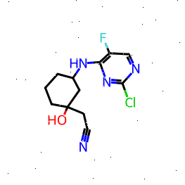 N#CCC1(O)CCCC(Nc2nc(Cl)ncc2F)C1